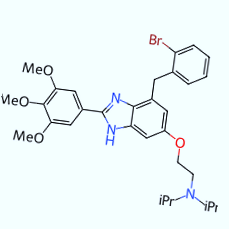 COc1cc(-c2nc3c(Cc4ccccc4Br)cc(OCCN(C(C)C)C(C)C)cc3[nH]2)cc(OC)c1OC